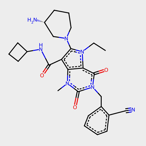 CCn1c(N2CCC[C@@H](N)C2)c(C(=O)NC2CCC2)c2c1c(=O)n(Cc1ccccc1C#N)c(=O)n2C